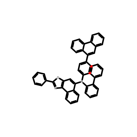 c1ccc(-c2nc3c(cc(N(c4ccc(-c5cc6ccccc6c6ccccc56)cc4)c4ccccc4-c4ccccc4)c4ccccc43)o2)cc1